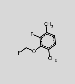 Cc1ccc(C)c(OCF)c1F